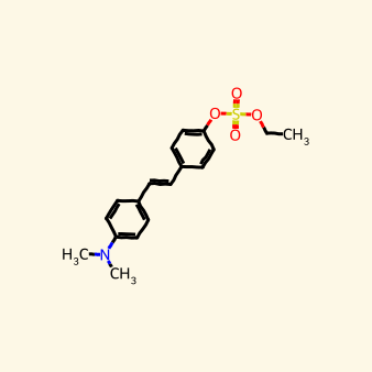 CCOS(=O)(=O)Oc1ccc(C=Cc2ccc(N(C)C)cc2)cc1